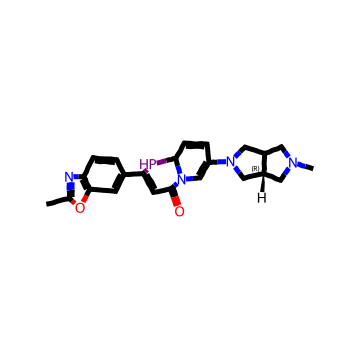 Cc1nc2ccc(C3=CC(=O)N4C=C(N5CC6CN(C)C[C@@H]6C5)C=CC4P3)cc2o1